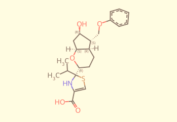 CC(C)C1([C@H]2CC[C@@H]3[C@@H](COc4ccccc4)[C@H](O)C[C@@H]3O2)NC(C(=O)O)=CS1